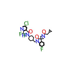 O=C(NC1CCC(CN2C(=O)C3(CN(C(=O)CC4CC4)C3)c3ccc(F)cc32)CC1)c1cc(Cl)cnc1C(F)F